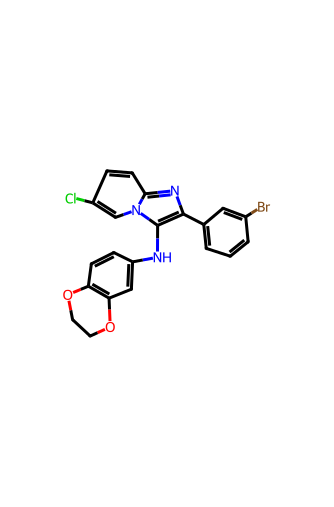 Clc1ccc2nc(-c3cccc(Br)c3)c(Nc3ccc4c(c3)OCCO4)n2c1